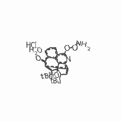 CC(C)(C)C1=c2c3c4nc(OON)c5cccc(c2=O)c5c4C1(O)C(C(C)(C)C)C=3.Cl.O